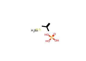 C=C(C)C.O=P(O)(O)O.S.[BaH2]